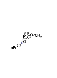 C=CCOc1ccc(C2CCC(/C=C/C3CCC(CCC)CC3)OC2)c(C(F)F)c1F